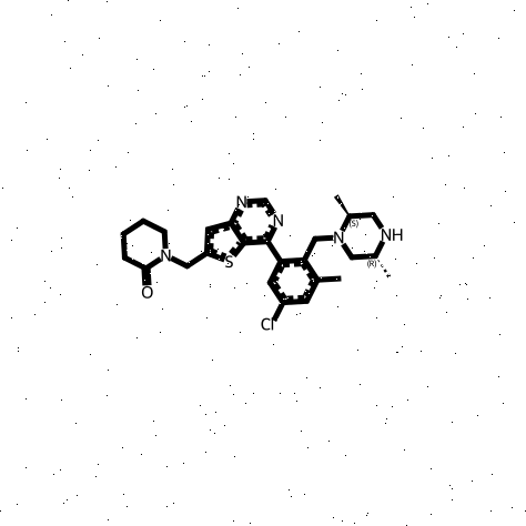 Cc1cc(Cl)cc(-c2ncnc3cc(CN4CCCCC4=O)sc23)c1CN1C[C@@H](C)NC[C@@H]1C